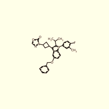 Cc1cc(-n2c(C(C)C)c(C3CC(n4ncoc4=O)C3)c3cc(OCc4ccccc4)ccc32)ccc1F